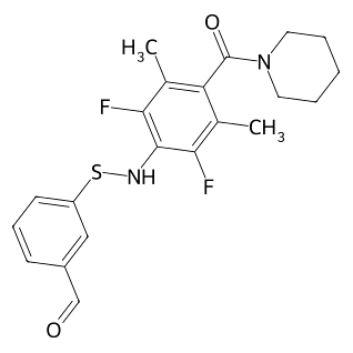 Cc1c(F)c(NSc2cccc(C=O)c2)c(F)c(C)c1C(=O)N1CCCCC1